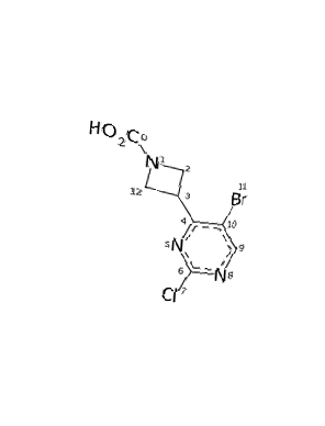 O=C(O)N1CC(c2nc(Cl)ncc2Br)C1